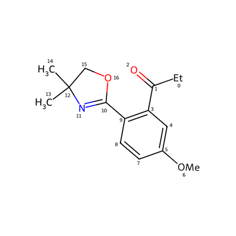 CCC(=O)c1cc(OC)ccc1C1=NC(C)(C)CO1